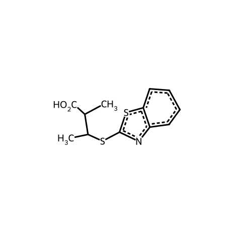 CC(Sc1nc2ccccc2s1)C(C)C(=O)O